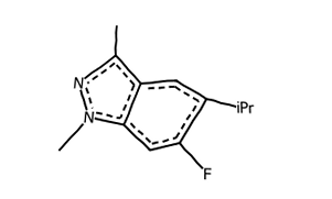 Cc1nn(C)c2cc(F)c(C(C)C)cc12